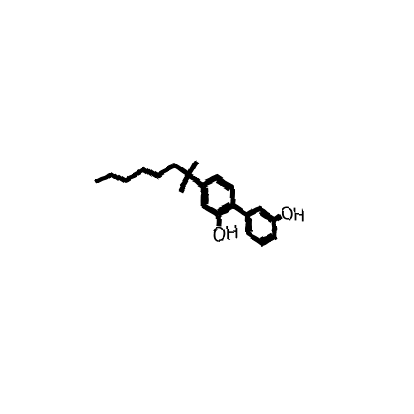 CCCCCCC(C)(C)c1ccc(-c2cccc(O)c2)c(O)c1